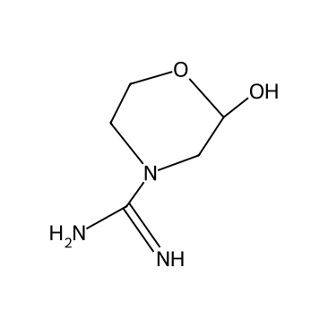 N=C(N)N1CCOC(O)C1